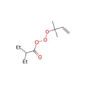 C=CC(C)(C)OOOC(=O)C(CC)CC